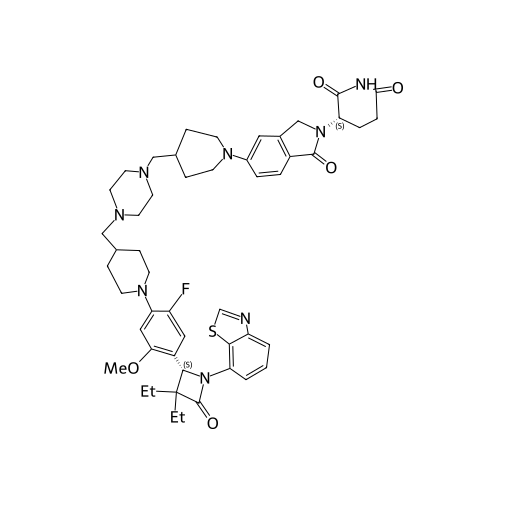 CCC1(CC)C(=O)N(c2cccc3ncsc23)[C@H]1c1cc(F)c(N2CCC(CN3CCN(CC4CCN(c5ccc6c(c5)CN([C@H]5CCC(=O)NC5=O)C6=O)CC4)CC3)CC2)cc1OC